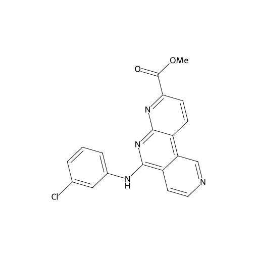 COC(=O)c1ccc2c(n1)nc(Nc1cccc(Cl)c1)c1ccncc12